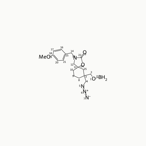 BOCC1(CN=[N+]=[N-])CCCC2(CN(Cc3ccc(OC)cc3)C(=O)O2)C1